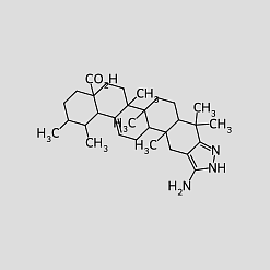 CC1CCC2(C(=O)O)CCC3(C)C(=CCC4C5(C)Cc6c(n[nH]c6N)C(C)(C)C5CCC43C)C2C1C